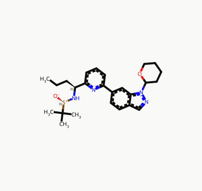 CCC[C@H](N[S@+]([O-])C(C)(C)C)c1cccc(-c2ccc3cnn(C4CCCCO4)c3c2)n1